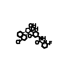 O=C(Nc1ccc2c(c1)O[C@@]1(c3ccc(Cl)cc3)[C@H](c3ccccc3)C[C@H](O)[C@@]21O)c1cccc(F)n1